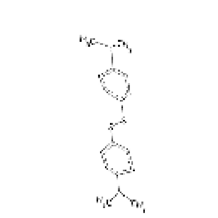 CC(C)c1ccc(SSc2ccc(C(C)C)cc2)cc1